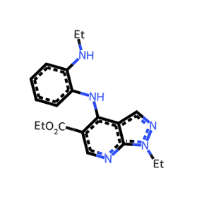 CCNc1ccccc1Nc1c(C(=O)OCC)cnc2c1cnn2CC